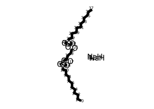 CCCCCCCCCCCCS(=O)(=O)OC(=O)CCC(=O)OS(=O)(=O)CCCCCCCCCCCC.[NaH].[NaH]